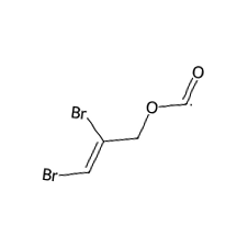 O=[C]OC/C(Br)=C/Br